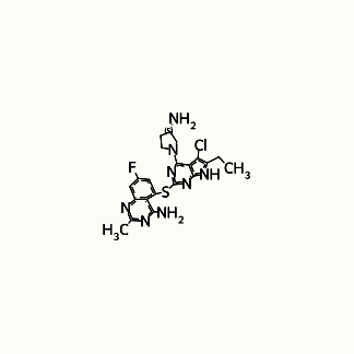 CCc1[nH]c2nc(Sc3cc(F)cc4nc(C)nc(N)c34)nc(N3CC[C@H](N)C3)c2c1Cl